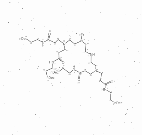 CCCCCCCCCCCCNC(=O)CCN(CCNCCN(CC)CCN(CCC(=O)NCCCCCCCCCCCC)CCC(=O)NCCCCCCCCCCCC)CCC(=O)NCCCCCCCCCCCC